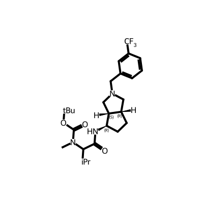 CC(C)C(C(=O)N[C@@H]1CC[C@H]2CN(Cc3cccc(C(F)(F)F)c3)C[C@H]21)N(C)C(=O)OC(C)(C)C